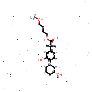 CC(C)(C(=O)OCCCCO[N+](=O)[O-])c1ccc([C@H]2CCC[C@@H](O)C2)c(O)c1